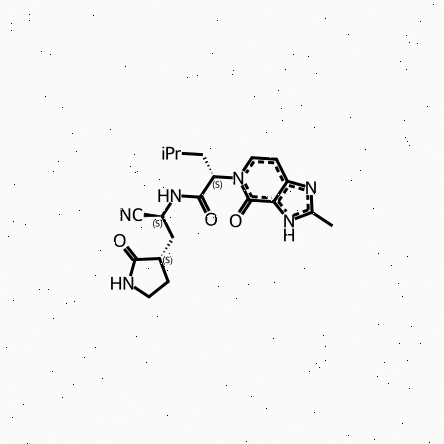 Cc1nc2ccn([C@@H](CC(C)C)C(=O)N[C@H](C#N)C[C@@H]3CCNC3=O)c(=O)c2[nH]1